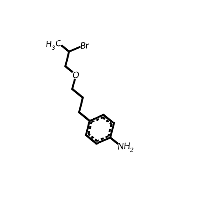 CC(Br)COCCCc1ccc(N)cc1